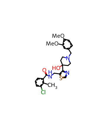 COc1ccc(CN2CCC(O)(c3ncsc3CNC(=O)c3cccc(Cl)c3C)CC2)cc1OC